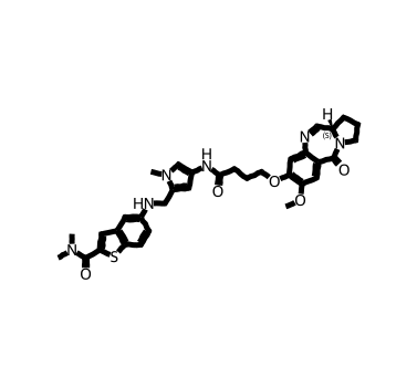 COc1cc2c(cc1OCCCC(=O)Nc1cc(CNc3ccc4sc(C(=O)N(C)C)cc4c3)n(C)c1)N=C[C@@H]1CCCN1C2=O